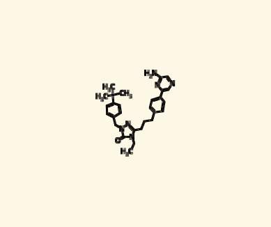 CCn1c(CCCc2ccc(-c3cncc(N)n3)cc2)nn(Cc2ccc(C(C)(C)C)cc2)c1=O